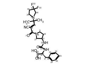 CC(C)(C=C(C#N)C(=O)N1CCC(NC(=O)N[C@@H](Cc2ccccc2)B(O)O)C1)N1CCC(F)(F)C1